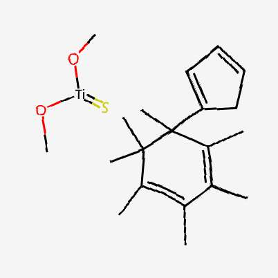 CC1=C(C)C(C)(C)C(C)(C2=CC=CC2)C(C)=C1C.C[O][Ti](=[S])[O]C